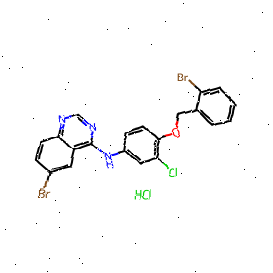 Cl.Clc1cc(Nc2ncnc3ccc(Br)cc23)ccc1OCc1ccccc1Br